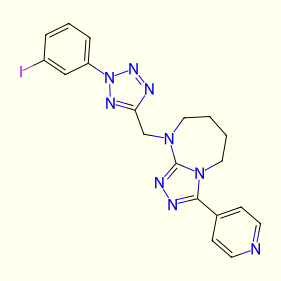 Ic1cccc(-n2nnc(CN3CCCCn4c(-c5ccncc5)nnc43)n2)c1